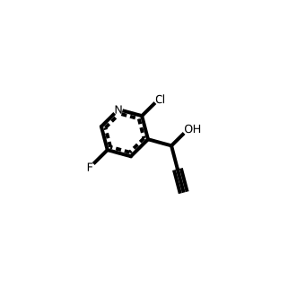 C#CC(O)c1cc(F)cnc1Cl